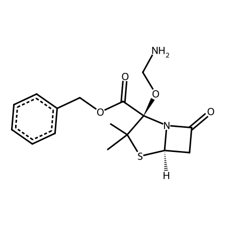 CC1(C)S[C@@H]2CC(=O)N2[C@@]1(OCN)C(=O)OCc1ccccc1